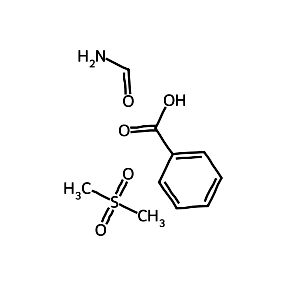 CS(C)(=O)=O.NC=O.O=C(O)c1ccccc1